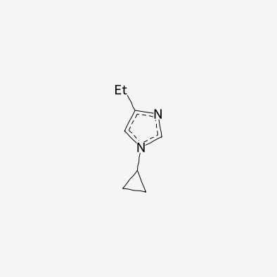 [CH2]Cc1cn(C2CC2)cn1